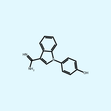 N=C(N)c1cn(-c2ccc(O)cc2)c2ccccc12